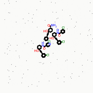 NC(=O)[C@H]1CCC[C@@](O)(C#Cc2cccc(Cl)c2)C1.O=C(N[C@H]1CCC[C@@](O)(C#Cc2cccc(Cl)c2)C1)c1cccc(Cl)c1.O=C(N[C@H]1CCC[C@@](O)(C#Cc2cccc(Cl)c2)C1)c1ccncc1